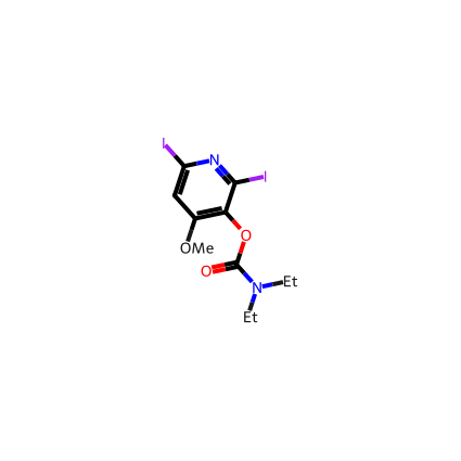 CCN(CC)C(=O)Oc1c(OC)cc(I)nc1I